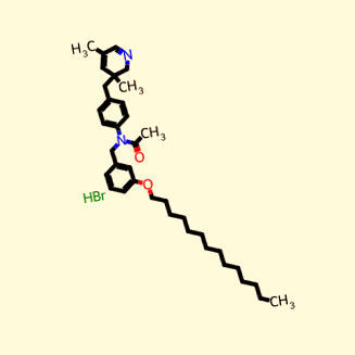 Br.CCCCCCCCCCCCCCOc1cccc(CN(C(C)=O)c2ccc(CC3(C)C=C(C)C=NC3)cc2)c1